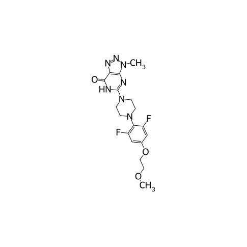 COCCOc1cc(F)c(N2CCN(c3nc4c(nnn4C)c(=O)[nH]3)CC2)c(F)c1